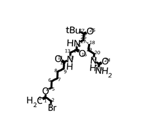 C=C(CBr)OCCCCCC(=O)NCC(=O)N[C@@H](CCCNC(N)=O)C(=O)C(C)(C)C